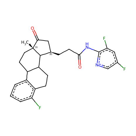 C[C@]12CCC3c4cccc(F)c4CCC3C1[C@H](CCC(=O)Nc1ncc(F)cc1F)CC2=O